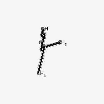 CCCCCCCCCCCCCCCc1ccc(COC(=O)CCCN2CCN(CCO)CC2)c(OCCCCCCCCCC)c1